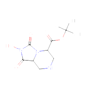 CC(C)(C)OC(=O)C1CNCC2C(=O)N(O)C(=O)N12